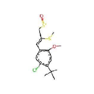 COc1cc(C(C)(C)C)c(Cl)cc1C=C(C[S+]=O)SC